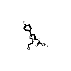 CC(=O)Oc1cc(-c2ccc(F)cc2)nn1CCCl